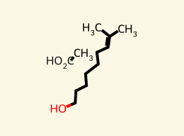 CC(=O)O.CC(C)=CCCCCCCO